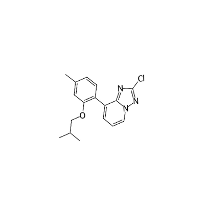 Cc1ccc(-c2cccn3nc(Cl)nc23)c(OCC(C)C)c1